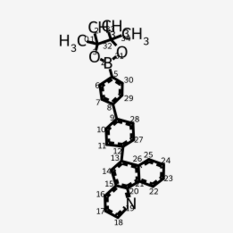 CC1(C)OB(c2ccc(-c3ccc(-c4cc5cccnc5c5ccccc45)cc3)cc2)OC1(C)C